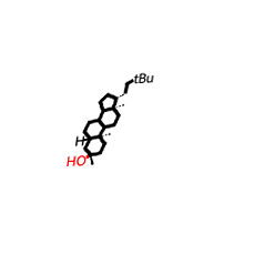 CC(C)(C)CC[C@H]1CCC2C3CC[C@H]4C[C@@](C)(O)CC[C@]4(C)C3CC[C@@]21C